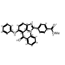 COC(=O)c1ccc(-c2nc3ccc(Oc4ccccc4)c4c(=O)c5ccccc5n2c34)cc1